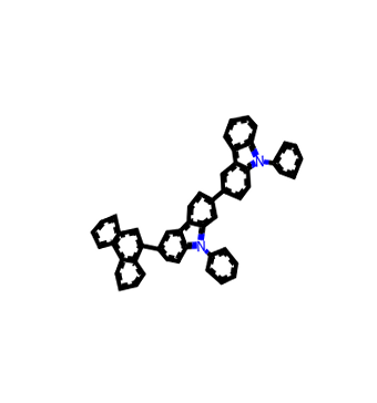 c1ccc(-n2c3ccccc3c3cc(-c4ccc5c6cc(-c7cc8ccccc8c8ccccc78)ccc6n(-c6ccccc6)c5c4)ccc32)cc1